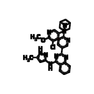 COc1ncc(CN2C3CC2CN(c2ccc(-c4nc(Nc5cc(C)[nH]n5)c5ccccc5n4)cn2)C3)cc1Cl